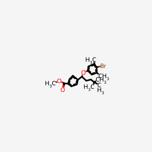 COC(=O)c1ccc(C(CCC(C)(C)C)Oc2cc(C)c(Br)c(C)c2)cc1